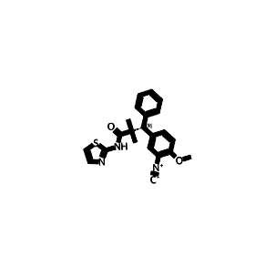 [C-]#[N+]c1cc([C@@H](c2ccccc2)C(C)(C)C(=O)Nc2nccs2)ccc1OC